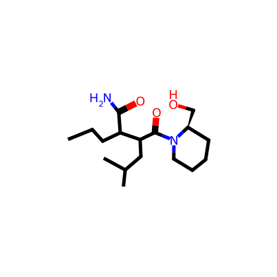 CCCC(C(N)=O)C(CC(C)C)C(=O)N1CCCC[C@@H]1CO